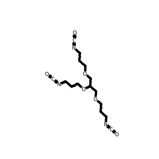 O=C=NCCCOCC(COCCCN=C=O)OCCCN=C=O